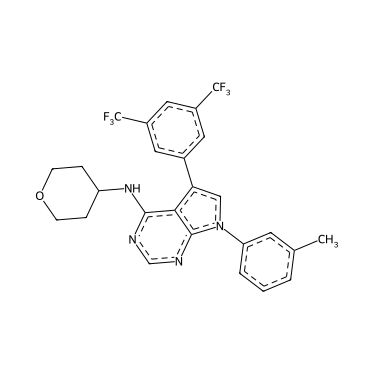 Cc1cccc(-n2cc(-c3cc(C(F)(F)F)cc(C(F)(F)F)c3)c3c(NC4CCOCC4)ncnc32)c1